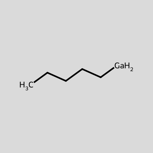 CCCC[CH2][GaH2]